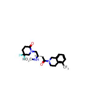 O=C(O)N[C@@H](CC(=O)N1CCc2c(cccc2C(F)(F)F)C1)CN1CC(F)(F)CCC1=O